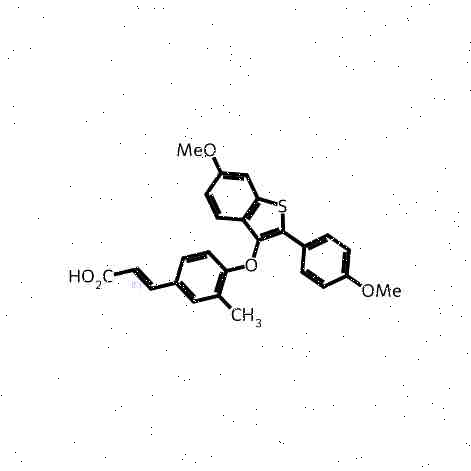 COc1ccc(-c2sc3cc(OC)ccc3c2Oc2ccc(/C=C/C(=O)O)cc2C)cc1